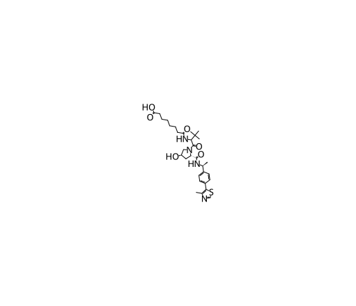 Cc1ncsc1-c1ccc([C@H](C)NC(=O)[C@@H]2C[C@@H](O)CN2C(=O)C(NC(=O)CCCCCCC(=O)O)C(C)(C)C)cc1